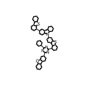 c1ccc(-c2nc(-c3ccc4c(c3)oc3ccccc34)nc(-c3cccc4sc5cc(-n6c7ccccc7c7cc(-c8cccc9c8sc8ccccc89)ccc76)ccc5c34)n2)cc1